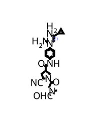 CN(C=O)CC(=O)N1CC(C(=O)Nc2ccc(N(N)/C=C(\N)C3CC3)cc2)CC1C#N